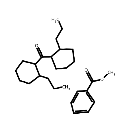 CCCC1CCCCC1C(=O)C1CCCCC1CCC.COC(=O)c1ccccc1